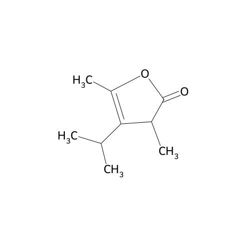 CC1=C(C(C)C)C(C)C(=O)O1